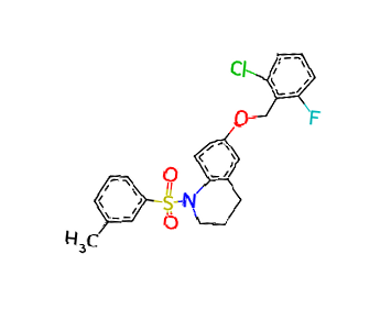 Cc1cccc(S(=O)(=O)N2CCCc3cc(OCc4c(F)cccc4Cl)ccc32)c1